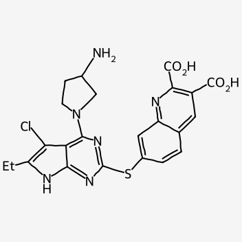 CCc1[nH]c2nc(Sc3ccc4cc(C(=O)O)c(C(=O)O)nc4c3)nc(N3CCC(N)C3)c2c1Cl